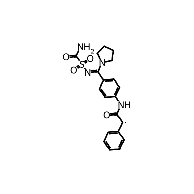 NC(=O)S(=O)(=O)N=C(c1ccc(NC(=O)[CH]c2ccccc2)cc1)N1CCCC1